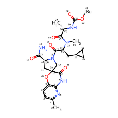 Cc1ccc2c(n1)NC(=O)[C@]1(C[C@@H](C(N)=O)N(C(=O)[C@H](CC3CC3)N(C)C(=O)[C@H](C)NC(=O)OC(C)(C)C)C1)O2